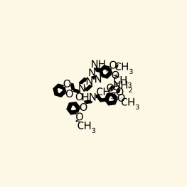 CCOc1ccccc1OCCN[C@H](C)Cc1ccc(OC)c(S(N)(=O)=O)c1.COc1cc2nc(N3CCN(C(=O)C4COc5ccccc5O4)CC3)nc(N)c2cc1OC